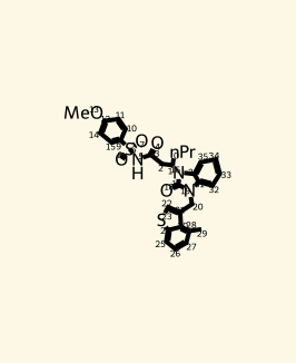 CCCC(CC(=O)NS(=O)(=O)c1ccc(OC)cc1)n1c(=O)n(Cc2csc3cccc(C)c23)c2ccccc21